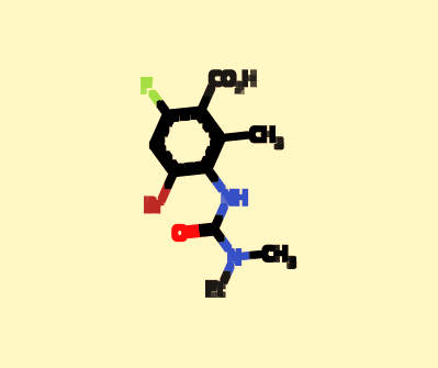 CCN(C)C(=O)Nc1c(Br)cc(F)c(C(=O)O)c1C